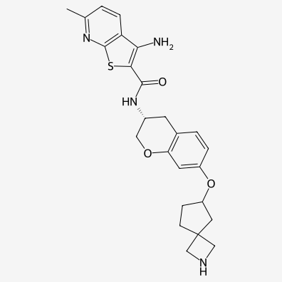 Cc1ccc2c(N)c(C(=O)N[C@H]3COc4cc(OC5CCC6(CNC6)C5)ccc4C3)sc2n1